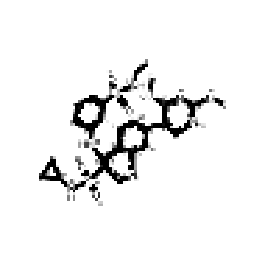 CCNS(=O)(=O)c1cccc(Nc2c(S(=O)(=O)NC3CC3)cnc3cc(-c4cnc(OC)nc4OC)ccc23)c1